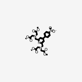 COC(=O)CN(CC(=O)OC)Cc1cc(-c2ccc([N+](=O)[O-])cc2)cc(CN(CC(=O)OC)CC(=O)OC)n1